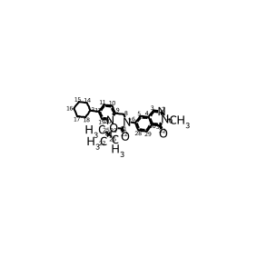 Cn1ncc2cc(N(Cc3ccc(C4CCCCC4)cn3)C(=O)OC(C)(C)C)ccc2c1=O